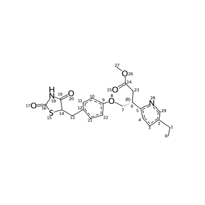 CCc1ccc([C@H](COc2ccc(CC3SC(=O)NC3=O)cc2)CC(=O)OC)nc1